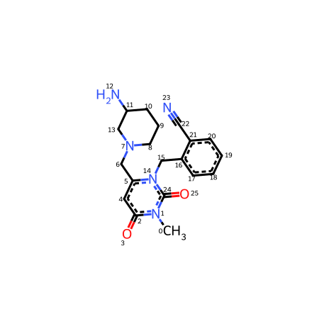 Cn1c(=O)cc(CN2CCCC(N)C2)n(Cc2ccccc2C#N)c1=O